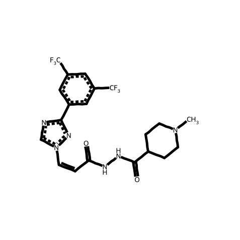 CN1CCC(C(=O)NNC(=O)/C=C\n2cnc(-c3cc(C(F)(F)F)cc(C(F)(F)F)c3)n2)CC1